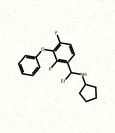 CCC(NC1CCCC1)c1ccc(F)c(Oc2ccccc2)c1F